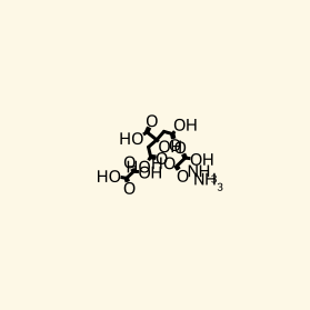 N.N.O=C(O)C(=O)O.O=C(O)C(=O)O.O=C(O)CC(O)(CC(=O)O)C(=O)O